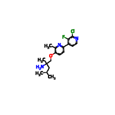 Cc1nc(-c2ccnc(Cl)c2F)ccc1OCC(C)(N)CC(C)C